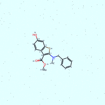 CC(=O)N(Cc1ccccc1)c1sc2cc(O)ccc2c1C(=O)OC(C)(C)C